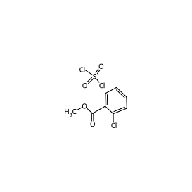 COC(=O)c1ccccc1Cl.O=S(=O)(Cl)Cl